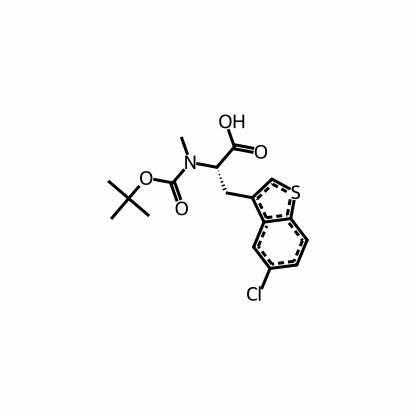 CN(C(=O)OC(C)(C)C)[C@@H](Cc1csc2ccc(Cl)cc12)C(=O)O